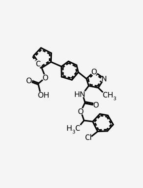 Cc1noc(-c2ccc(-c3ccccc3OC(=O)O)cc2)c1NC(=O)OC(C)c1ccccc1Cl